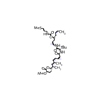 C/C=C\C[C@@H](C/C=C\NC(=O)[C@@H](NC(=O)\C=C/C=C\C(C)=C\[C@H](C)[C@@H]1CC=C(OC)C(=O)O1)C(C)(C)C)OC(=O)NCCCSC